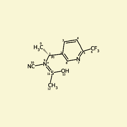 C[C@H](c1ccc(C(F)(F)F)nc1)[N+](C#N)=S(C)O